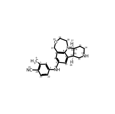 Cc1cc(Nc2cc3c4c(c2)[C@@H]2CNCC[C@@H]2N4CCOC3)ccc1C#N